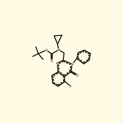 CC(C)(C)OC(=O)N(Cc1nc2cccc(F)c2c(=O)n1-c1ccccc1)C1CC1